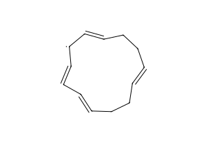 [CH]1/C=C/C=C/CC/C=C/CC/C=C/1